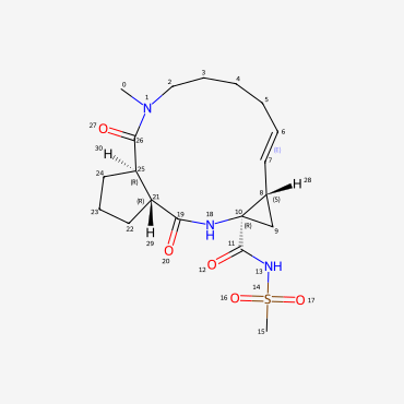 CN1CCCC/C=C/[C@@H]2C[C@@]2(C(=O)NS(C)(=O)=O)NC(=O)[C@@H]2CCC[C@H]2C1=O